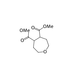 COC(=O)C1CCOCCC1C(=O)OC